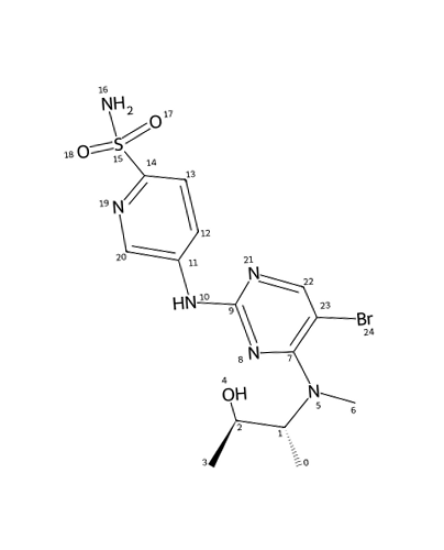 C[C@H]([C@@H](C)O)N(C)c1nc(Nc2ccc(S(N)(=O)=O)nc2)ncc1Br